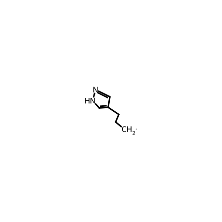 [CH2]CCc1cn[nH]c1